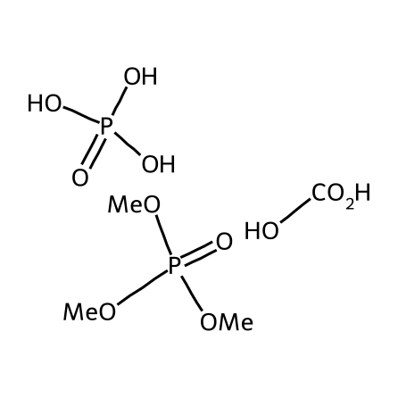 COP(=O)(OC)OC.O=C(O)O.O=P(O)(O)O